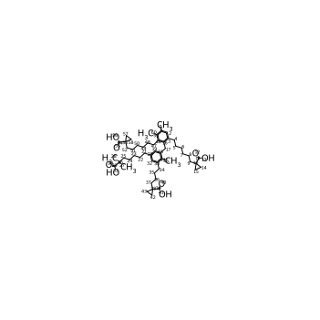 Cc1cc(CCCCCCC2(C(=O)O)CC2)c(Cc2cc(CCCCCC(C)(C)C(=O)O)cc(CCCCC3(C(=O)O)CC3)c2C)c(CCCCCCC2(C(=O)O)CC2)c1C